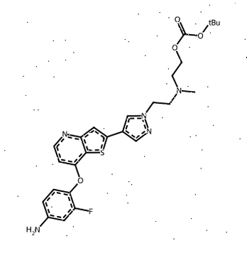 CN(CCOC(=O)OC(C)(C)C)CCn1cc(-c2cc3nccc(Oc4ccc(N)cc4F)c3s2)cn1